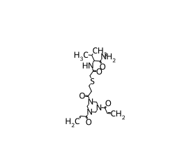 C=CC(=O)N1CN(C(=O)C=C)CN(C(=O)CCSCC(=O)N[C@H](C(N)=O)C(C)C)C1